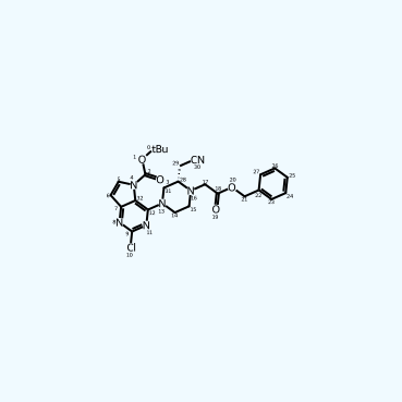 CC(C)(C)OC(=O)n1ccc2nc(Cl)nc(N3CCN(CC(=O)OCc4ccccc4)[C@@H](CC#N)C3)c21